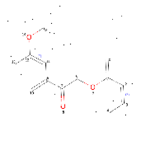 C=C(/C=C\C)OCC(=O)C(=C)/C=C(\C)OC